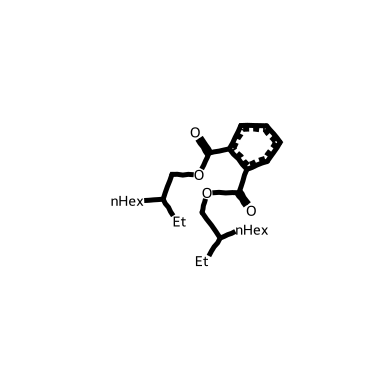 CCCCCCC(CC)COC(=O)c1ccccc1C(=O)OCC(CC)CCCCCC